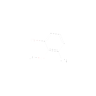 CCOc1c(Br)cccc1C#N